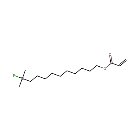 C=CC(=O)OCCCCCCCCCC[Si](C)(C)F